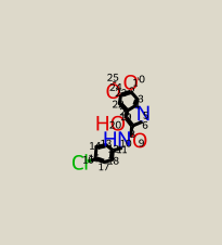 COc1cc2ncc(C(=O)NCc3ccc(Cl)cc3)c(O)c2cc1OC